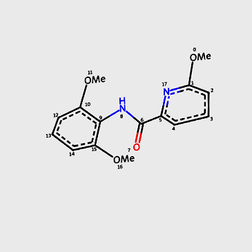 COc1cccc(C(=O)Nc2c(OC)cccc2OC)n1